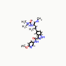 C=N/C=C(\C=C(/C)c1ccc2[nH]nc(C(=O)Nc3ccc(OC(C)C)nc3)c2c1)NC(=O)N(C)C